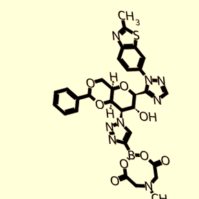 Cc1nc2ccc(-n3ncnc3[C@@H]3O[C@@H]4COC(c5ccccc5)O[C@@H]4[C@H](n4cc(B5OC(=O)CN(C)CC(=O)O5)nn4)[C@H]3O)cc2s1